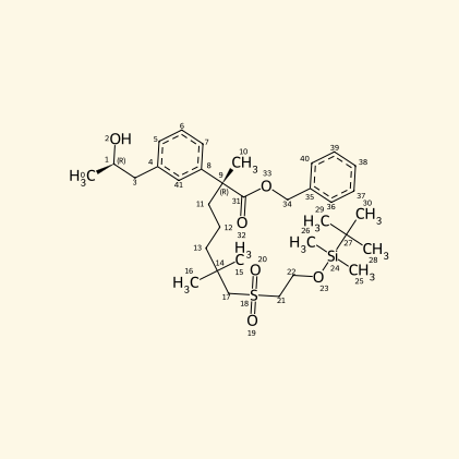 C[C@@H](O)Cc1cccc([C@@](C)(CCCC(C)(C)CS(=O)(=O)CCO[Si](C)(C)C(C)(C)C)C(=O)OCc2ccccc2)c1